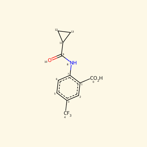 O=C(O)c1cc(C(F)(F)F)ccc1NC(=O)C1CC1